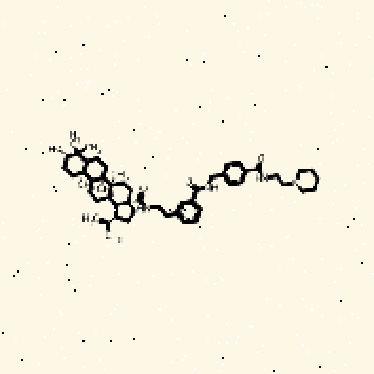 C=C(C)[C@@H]1CC[C@]2(C(=O)NCCc3cccc(C(=O)NCc4ccc(C(=O)NCCN5CCCCC5)cc4)c3)CC[C@]3(C)C(CCC4[C@@]5(C)CC[C@H](O)C(C)(C)C5CC[C@]43C)C12